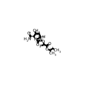 CC[C@@H](C)OC(=O)C(F)ON1C(=O)N2C[C@H]1C=C(C)[C@@H]2C(N)=O